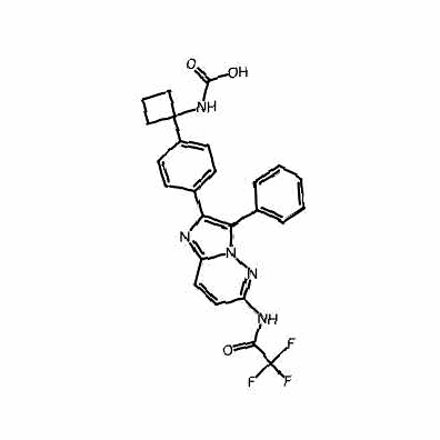 O=C(O)NC1(c2ccc(-c3nc4ccc(NC(=O)C(F)(F)F)nn4c3-c3ccccc3)cc2)CCC1